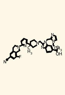 CCn1ccnc1Cn1c(CN2CCC(C)(c3cccc(N4CCc5cc(C#N)cc(F)c5C4)n3)CC2)nc2ccc(C(=O)O)cc21